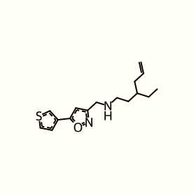 C=CCC(CC)CCNCc1cc(-c2ccsc2)on1